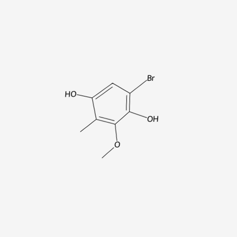 COc1c(C)c(O)cc(Br)c1O